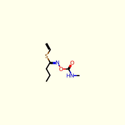 C=CSC(CCC)=NOC(=O)NC